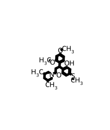 COc1cc(O)c(C(CC(=O)N2CC(C)CC(C)C2)c2ccc(SC)cc2)c(OC)c1